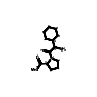 COC(=O)[C@@H]1CCCN1C(=O)C(N)C1CCCCC1